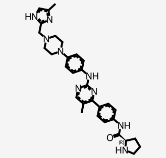 Cc1c[nH]c(CN2CCN(c3ccc(Nc4ncc(C)c(-c5ccc(NC(=O)[C@H]6CCCN6)cc5)n4)cc3)CC2)n1